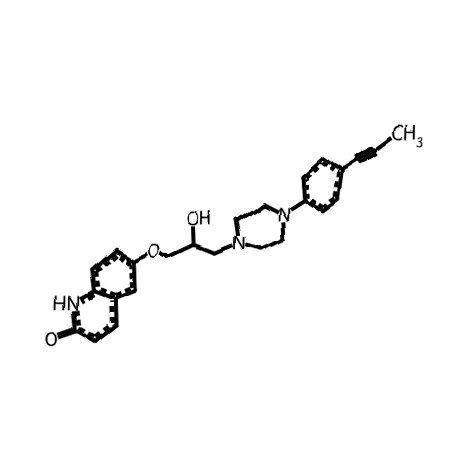 CC#Cc1ccc(N2CCN(CC(O)COc3ccc4[nH]c(=O)ccc4c3)CC2)cc1